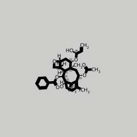 C=C[C@H](O)O[C@H]1C[C@H]2OC[C@H]2[C@@H]2[C@H](OC(=O)c3ccccc3)[C@]3(O)CCC(C)=C([C@@H](OC(C)=O)C[C@@]21C)C3(C)C